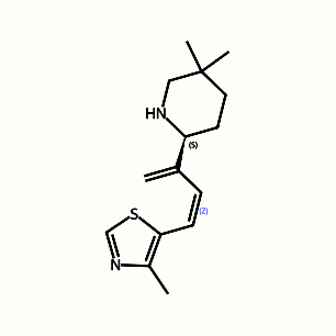 C=C(/C=C\c1scnc1C)[C@@H]1CCC(C)(C)CN1